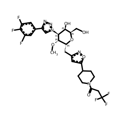 CO[C@@H]1[C@@H](n2cc(-c3cc(F)c(F)c(F)c3)nn2)[C@@H](O)[C@@H](CO)O[C@@H]1Cc1cc(C2CCN(C(=O)CC(F)(F)F)CC2)on1